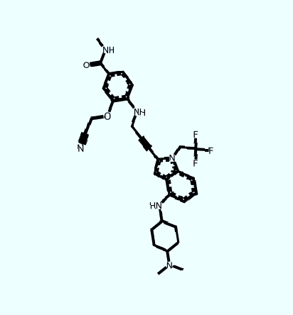 CNC(=O)c1ccc(NCC#Cc2cc3c(NC4CCC(N(C)C)CC4)cccc3n2CC(F)(F)F)c(OCC#N)c1